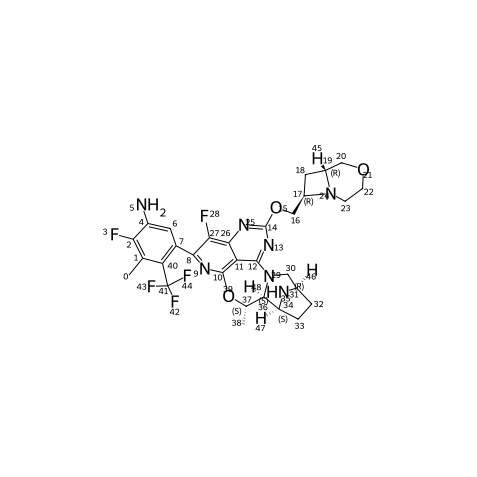 Cc1c(F)c(N)cc(-c2nc3c4c(nc(OC[C@H]5C[C@@H]6COCCN65)nc4c2F)N2C[C@H]4CC[C@H](N4)[C@H]2[C@H](C)O3)c1C(F)(F)F